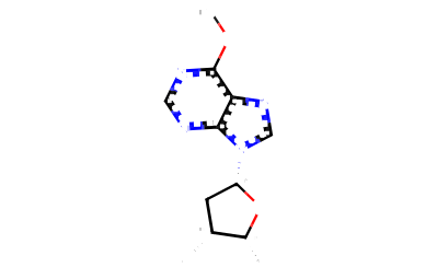 CC[C@H]1O[C@@H](n2cnc3c(OC(C)C)ncnc32)C[C@H]1C